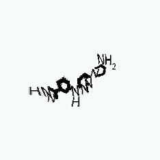 NC1CCCN(c2ccc(Nc3cccc(-c4cn[nH]c4)c3)nn2)C1